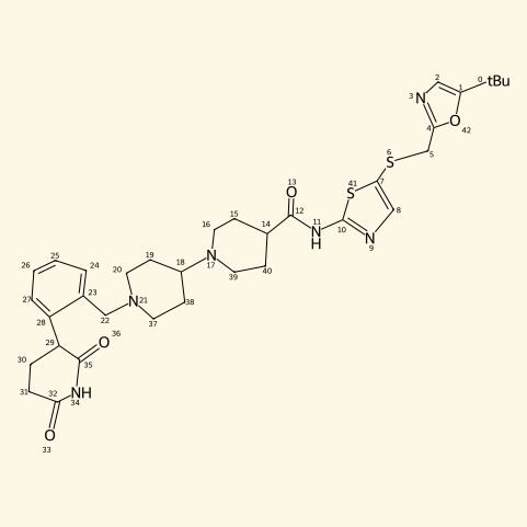 CC(C)(C)c1cnc(CSc2cnc(NC(=O)C3CCN(C4CCN(Cc5ccccc5C5CCC(=O)NC5=O)CC4)CC3)s2)o1